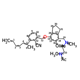 C=C/C=C\C=C(/C)c1cccc(COc2cc(OC)c(CN(C)CCN(C)C(C)=O)c3c2CCC3)c1C#N